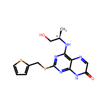 C[C@H](CO)Nc1nc(SCc2cccs2)nc2[nH]c(=O)cnc12